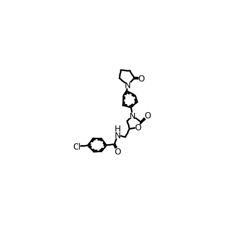 O=C(NCC1CN(c2ccc(N3CCCC3=O)cc2)C(=O)O1)c1ccc(Cl)cc1